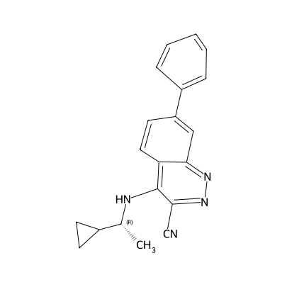 C[C@@H](Nc1c(C#N)nnc2cc(-c3ccccc3)ccc12)C1CC1